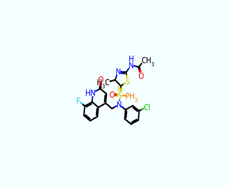 CC(=O)NC1=NC(C)C([SH](=O)(P)N(Cc2cc(=O)[nH]c3c(F)cccc23)c2cccc(Cl)c2)S1